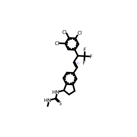 CNC(=S)NC1CCc2cc(/C=C/C(c3cc(Cl)c(Cl)c(Cl)c3)C(F)(F)F)ccc21